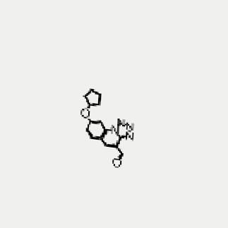 O=Cc1cc2ccc(OC3CCCC3)cc2n2nnnc12